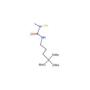 CO[Si](CCCNC(=O)N(C)S)(OC)OC